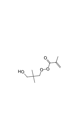 C=C(C)C(=O)OOCC(C)(C)CO